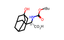 CC(C)(C)OC(=O)N[C@H](C(=O)O)C12CC3CC(CC(O)(C3)C1)C2